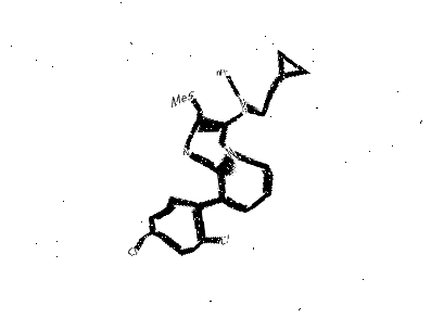 CCCN(CC1CC1)c1c(SC)nc2c(-c3ccc(Cl)cc3Cl)cccn12